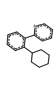 c1ccc(-c2ccccc2C2CCCCC2)nc1